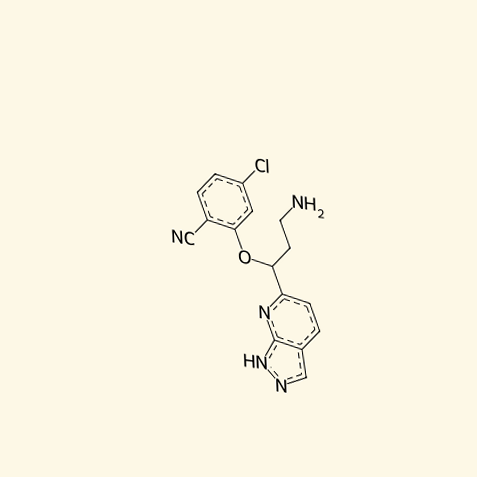 N#Cc1ccc(Cl)cc1OC(CCN)c1ccc2cn[nH]c2n1